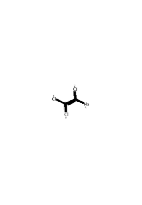 [Na][C](Cl)=C(Cl)Cl